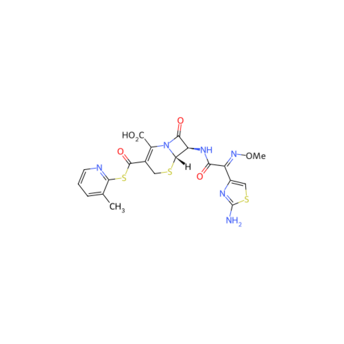 CON=C(C(=O)N[C@@H]1C(=O)N2C(C(=O)O)=C(C(=O)Sc3ncccc3C)CS[C@@H]12)c1csc(N)n1